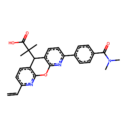 C=Cc1ccc2c(n1)Oc1nc(-c3ccc(C(=O)N(C)C)cc3)ccc1C2C(C)(C)C(=O)O